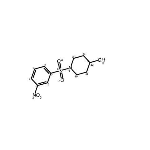 O=[N+]([O-])c1cccc(S(=O)(=O)N2CCC(O)CC2)c1